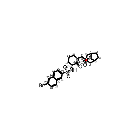 CC(=O)N1CC2CCC(C1)N2C(=O)CN1CCC[C@H](NS(=O)(=O)c2ccc3cc(Br)ccc3c2)C1=O